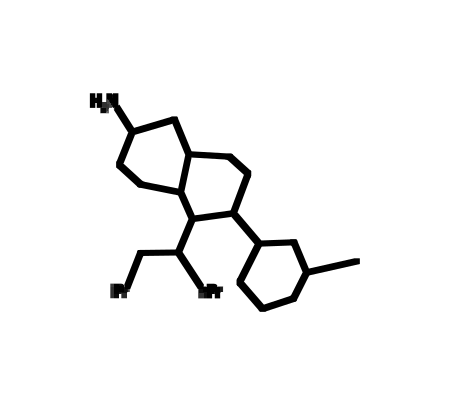 CCCC(CC(C)C)C1C(C2CCCC(C)C2)CCC2CC(N)CCC21